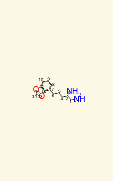 [NH]CC(N)CCCc1cccc2c1OCO2